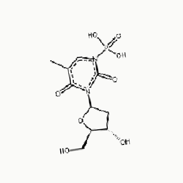 Cc1cn(P(=O)(O)O)c(=O)n(C2C[C@H](O)[C@@H](CO)O2)c1=O